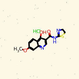 COc1ccc2c(O)c(C(=O)NC3=NCCS3)cnc2c1.Cl